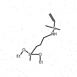 C=C[Si](C)(C)NCCC[Si](C)(OCC)OCC